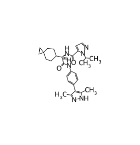 Cc1n[nH]c(C)c1-c1ccc(NC(=O)[C@H](NC(=O)c2ccnn2C(C)C)C2CCC3(CC2)CC3)cc1